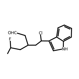 CC(F)CC(CC=O)CC(Cl)c1c[nH]c2ccccc12